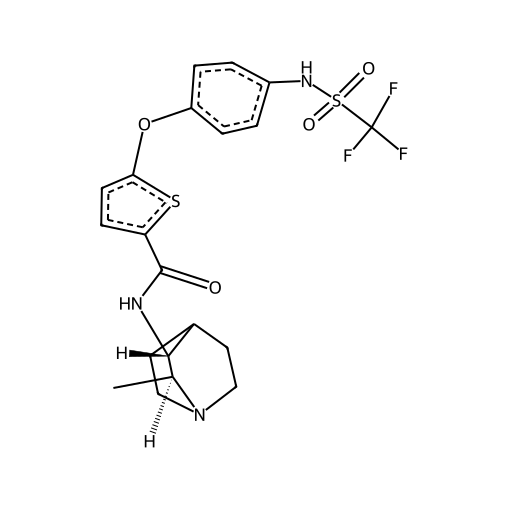 C[C@H]1[C@H](NC(=O)c2ccc(Oc3ccc(NS(=O)(=O)C(F)(F)F)cc3)s2)C2CCN1CC2